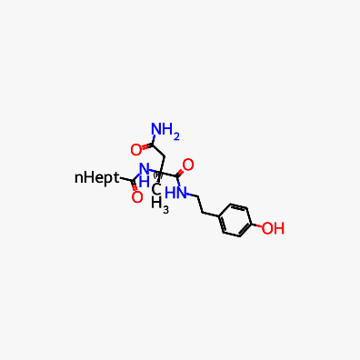 CCCCCCCC(=O)N[C@](C)(CC(N)=O)C(=O)NCCc1ccc(O)cc1